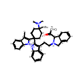 CCCCC1(N(C)C)CCC(c2[nH]c3ccccc3c2C)(c2[nH]c3ccccc3c2CCN2Cc3ccccc3C2C(=O)C=O)CC1